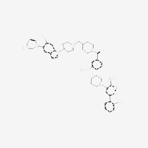 Cc1cc(C(=O)N2CCC(CN3CCC(n4ccc5cc(N6C=CCNC6)c(C)cc54)CC3)CC2)ccc1[C@H]1CCCN(c2cc(-c3ccccc3O)nnc2N)C1